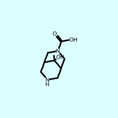 CC1(O)C2CNCC1CN(C(=O)O)C2